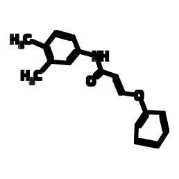 Cc1ccc(NC(=O)C=COc2ccccc2)cc1C